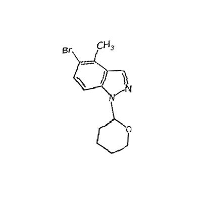 Cc1c(Br)ccc2c1cnn2C1CCCCO1